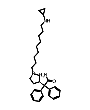 NC(=O)C(c1ccccc1)(c1ccccc1)[C@H]1CCN(CCCCCCCCCNC2CC2)C1